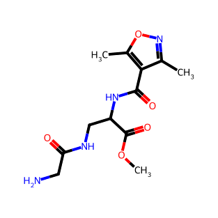 COC(=O)C(CNC(=O)CN)NC(=O)c1c(C)noc1C